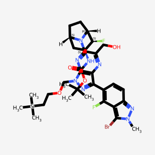 Cn1nc2ccc(-c3nn(COCC[Si](C)(C)C)c4nc(N5[C@H]6CC[C@@H]5[C@@H](F)[C@@H](NC(=O)OC(C)(C)C)C6)c(CO)nc34)c(F)c2c1Br